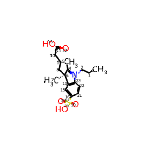 CCC[N+]1=C(C)[C@](C)(CCCC(=O)O)c2cc(S(=O)(=O)O)ccc21